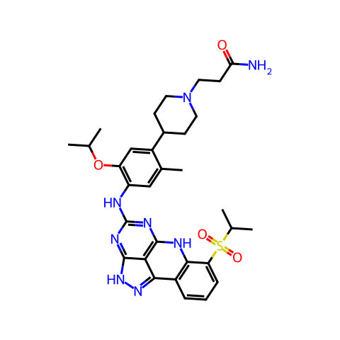 Cc1cc(Nc2nc3c4c(n[nH]c4n2)-c2cccc(S(=O)(=O)C(C)C)c2N3)c(OC(C)C)cc1C1CCN(CCC(N)=O)CC1